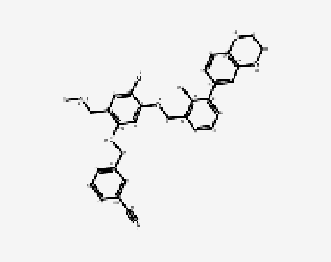 CNCc1cc(Cl)c(OCc2cccc(-c3ccc4c(c3)OCCO4)c2C)cc1OCc1cccc(C#N)c1